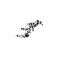 O=C(CS(=O)(=O)C(F)(F)F)NC1C(=O)N2C(C(=O)O)=C(CSc3nnc(CS(=O)(=O)O)o3)CS[C@H]12